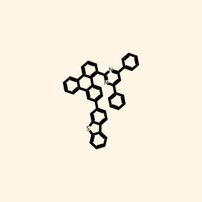 c1ccc(-c2cc(-c3ccccc3)nc(-c3cccc4c5ccccc5c5cc(-c6ccc7c(c6)sc6ccccc67)ccc5c34)n2)cc1